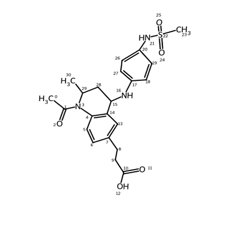 CC(=O)N1c2ccc(CCC(=O)O)cc2C(Nc2ccc(NS(C)(=O)=O)cc2)CC1C